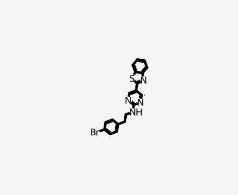 Brc1ccc(CCNc2n[c]c(-c3nc4ccccc4s3)cn2)cc1